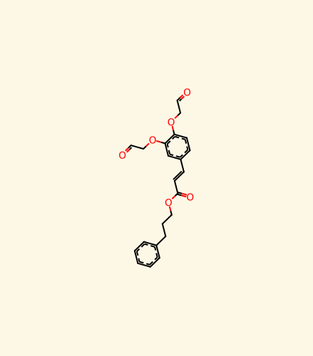 O=CCOc1ccc(/C=C/C(=O)OCCCc2ccccc2)cc1OCC=O